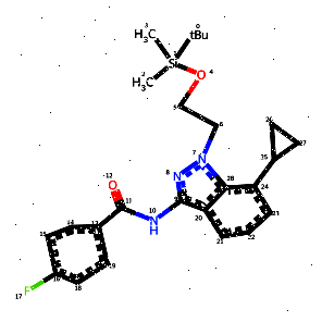 CC(C)(C)[Si](C)(C)OCCn1nc(NC(=O)c2ccc(F)cc2)c2cccc(C3CC3)c21